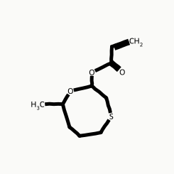 C=CC(=O)OC1CSCCCC(C)O1